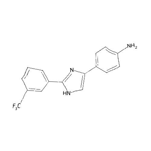 Nc1ccc(-c2c[nH]c(-c3cccc(C(F)(F)F)c3)n2)cc1